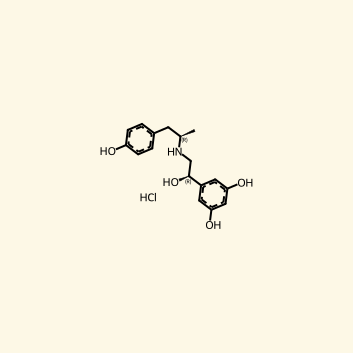 C[C@H](Cc1ccc(O)cc1)NC[C@H](O)c1cc(O)cc(O)c1.Cl